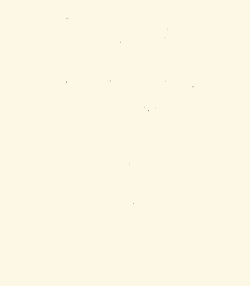 C/C(O)=C\C=C(/C)CC1CCC(C(O)c2ccccc2)N1